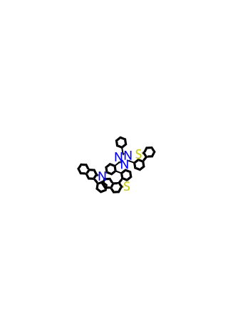 c1ccc(-c2nc(-c3ccc(-n4c5ccccc5c5cc6ccccc6cc54)cc3-c3cccc4sc5ccc6ccccc6c5c34)nc(-c3cccc4c3sc3ccccc34)n2)cc1